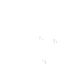 Cc1ncnn1C(C)C